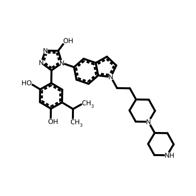 CC(C)c1cc(-c2nnc(O)n2-c2ccc3c(ccn3CCC3CCN(C4CCNCC4)CC3)c2)c(O)cc1O